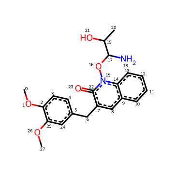 COc1ccc(Cc2cc3ccccc3n(OC(N)C(C)O)c2=O)cc1OC